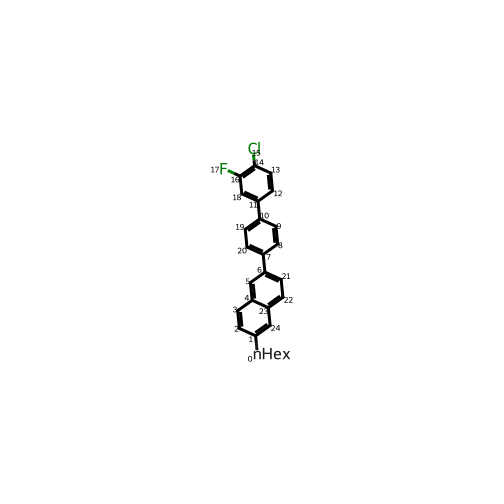 CCCCCCc1ccc2cc(-c3ccc(-c4ccc(Cl)c(F)c4)cc3)ccc2c1